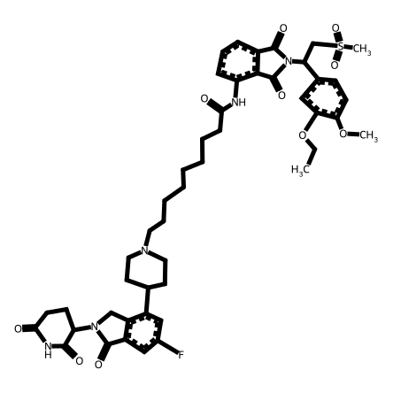 CCOc1cc(C(CS(C)(=O)=O)N2C(=O)c3cccc(NC(=O)CCCCCCCCN4CCC(c5cc(F)cc6c5CN(C5CCC(=O)NC5=O)C6=O)CC4)c3C2=O)ccc1OC